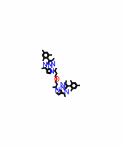 Cc1cc(C)c(-c2c(C)nn3c2nc(C)c2ccn(C(C)CCOCCC(C)n4ccc5c(C)nc6c(-c7c(C)cc(C)cc7C)c(C)nn6c54)c23)c(C)c1